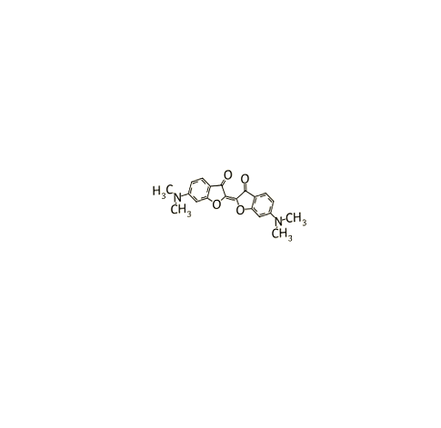 CN(C)c1ccc2c(c1)OC(=C1Oc3cc(N(C)C)ccc3C1=O)C2=O